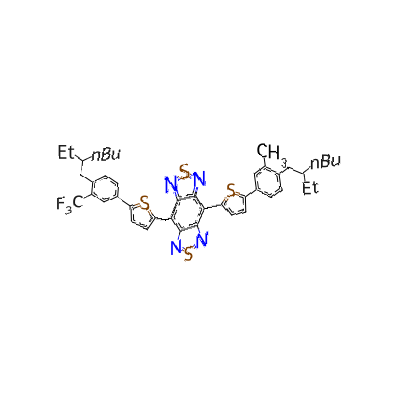 CCCCC(CC)Cc1ccc(-c2ccc(-c3c4c(c(-c5ccc(-c6ccc(CC(CC)CCCC)c(C(F)(F)F)c6)s5)c5nsnc35)N=S=N4)s2)cc1C